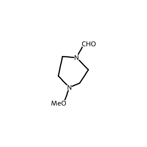 CON1CCN(C=O)CC1